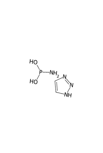 NP(O)O.c1c[nH]nn1